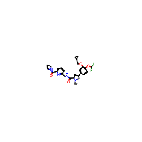 CC(=O)N1CC(c2ccc(OC(F)F)c(OCC3CC3)c2)CC1C(=O)NCc1cccc(C(=O)N2CCC2)n1